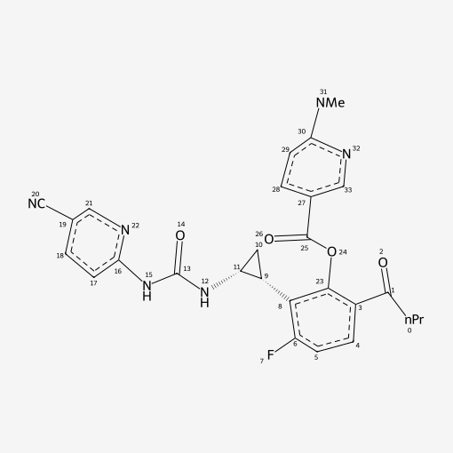 CCCC(=O)c1ccc(F)c([C@H]2C[C@H]2NC(=O)Nc2ccc(C#N)cn2)c1OC(=O)c1ccc(NC)nc1